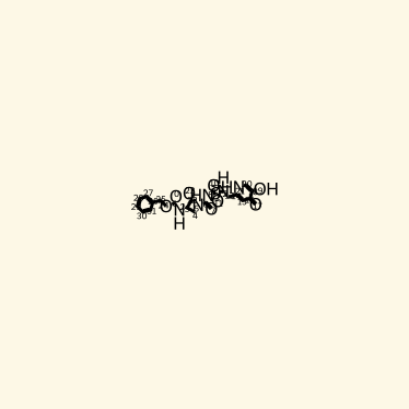 O=C(N[C@H]1CN(C(=O)NS(=O)(=O)NCc2cc(=O)c(O)c[nH]2)C1=O)OCc1ccccc1